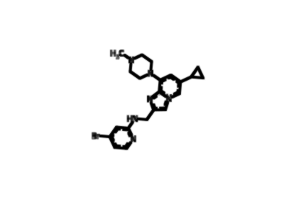 CN1CCN(c2cc(C3CC3)cn3cc(CNc4cc(Br)ccn4)nc23)CC1